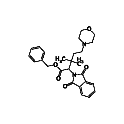 CC(C)(CCN1CCOCC1)C(C(=O)OCc1ccccc1)N1C(=O)c2ccccc2C1=O